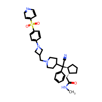 CNC(=O)C[C@H]1CCC[C@@H]1C(C#N)(c1ccccc1)C1CCN(CC2CN(c3ccc(S(=O)(=O)c4ccncc4)cc3)C2)CC1